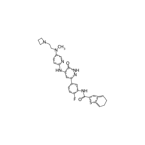 CN(CCN1CCC1)c1ccc(Nc2cc(-c3ccc(F)c(NC(=O)c4cc5c(s4)=CCCC=5)c3)n[nH]c2=O)nc1